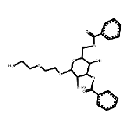 CC(=O)NC1C(OCCOCCN)OC(COC(=O)c2ccccc2)C(O)C1OC(=O)c1ccccc1